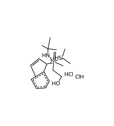 Cl.Cl.[CH2]=[Zr]([CH3])([CH2]CO)([NH]C(C)(C)C)([CH]1C=Cc2ccccc21)[SiH](C)C